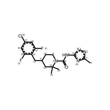 Cc1nsc(NC(=O)N2CCC(Cc3c(F)cc(Cl)cc3F)CC2(C)C)n1